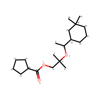 CC(OC(C)(C)COC(=O)C1CCCC1)C1CCCC(C)(C)C1